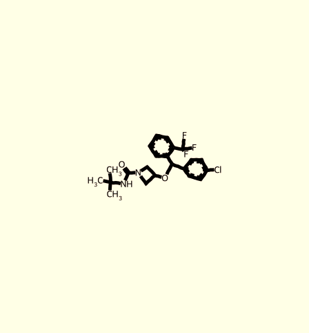 CC(C)(C)NC(=O)N1CC(OC(c2ccc(Cl)cc2)c2ccccc2C(F)(F)F)C1